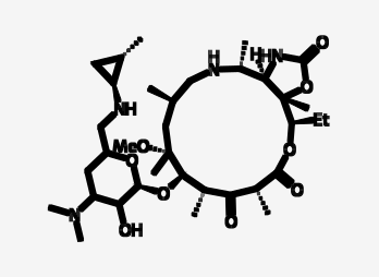 CC[C@H]1OC(=O)[C@H](C)C(=O)[C@H](C)[C@@H](O[C@@H]2OC(CN[C@H]3C[C@@H]3C)CC(N(C)C)C2O)[C@](C)(OC)C[C@@H](C)CN[C@H](C)[C@H]2NC(=O)O[C@@]21C